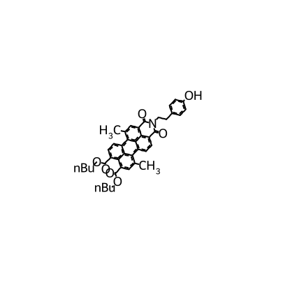 CCCCOC(=O)c1ccc2c3c(C)cc4c5c(ccc(c6c(C)cc(C(=O)OCCCC)c1c26)c53)C(=O)N(CCc1ccc(O)cc1)C4=O